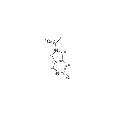 CC(=O)N1Cc2cnc(Cl)cc2C1